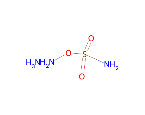 N.NOS(N)(=O)=O